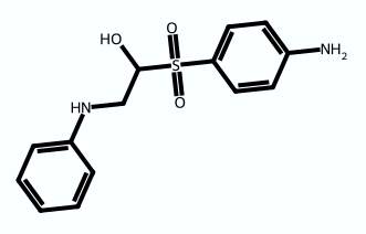 Nc1ccc(S(=O)(=O)C(O)CNc2ccccc2)cc1